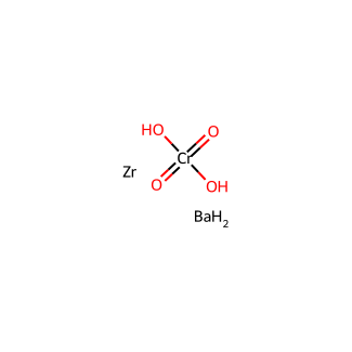 [BaH2].[O]=[Cr](=[O])([OH])[OH].[Zr]